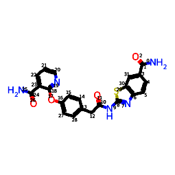 NC(=O)c1ccc2nc(NC(=O)Cc3ccc(Oc4ncccc4C(N)=O)cc3)sc2c1